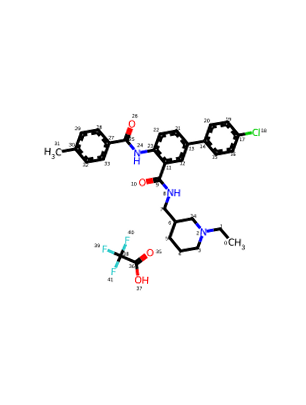 CCN1CCCC(CNC(=O)c2cc(-c3ccc(Cl)cc3)ccc2NC(=O)c2ccc(C)cc2)C1.O=C(O)C(F)(F)F